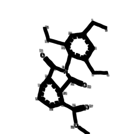 CCc1cc(CC)c(N2C(=O)c3cccc(C(=O)OC)c3C2=O)c(CC)c1